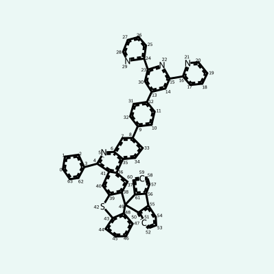 c1ccc(-c2nc3cc(-c4ccc(-c5cc(-c6ccccn6)nc(-c6ccccn6)c5)cc4)ccc3c3cc4c(cc23)Sc2ccccc2C42c3ccccc3-c3ccccc32)cc1